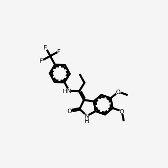 CC/C(Nc1ccc(C(F)(F)F)cc1)=C1/C(=O)Nc2cc(OC)c(OC)cc21